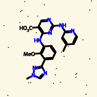 COc1c(Nc2nc(Nc3cc(C)ccn3)ncc2C(=O)O)cccc1-c1ncn(C)n1